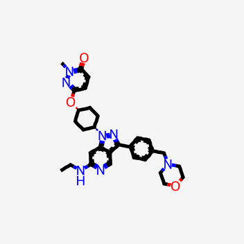 CCNc1cc2c(cn1)c(-c1ccc(CN3CCOCC3)cc1)nn2[C@H]1CC[C@@H](Oc2ccc(=O)n(C)n2)CC1